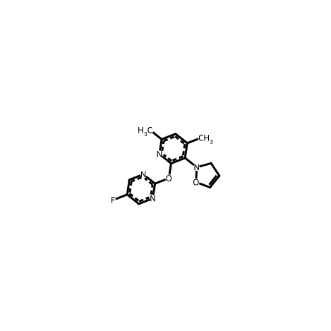 Cc1cc(C)c(N2CC=CO2)c(Oc2ncc(F)cn2)n1